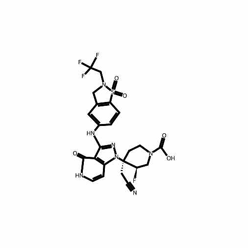 N#CC[C@]1(n2nc(Nc3ccc4c(c3)CN(CC(F)(F)F)S4(=O)=O)c3c(=O)[nH]ccc32)CCN(C(=O)O)C[C@H]1F